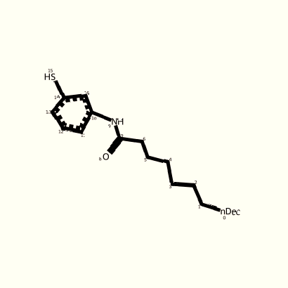 CCCCCCCCCCCCCCCCC(=O)Nc1cccc(S)c1